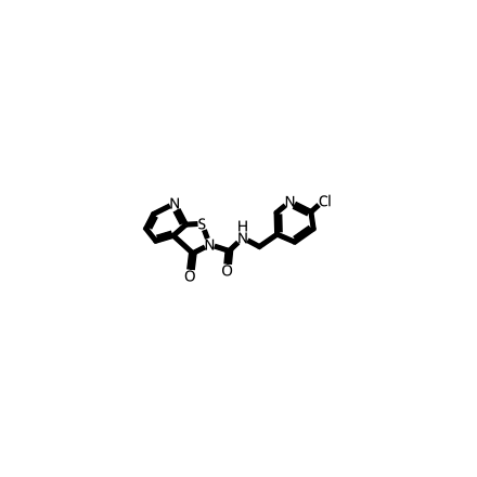 O=C(NCc1ccc(Cl)nc1)n1sc2ncccc2c1=O